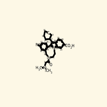 CN(C)CC(=O)N1CCn2c(c(C3CCCCC3)c3ccc(C(=O)O)cc32)-c2ccc(F)cc2C1